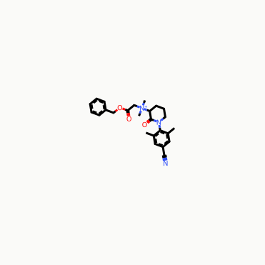 Cc1cc(C#N)cc(C)c1N1CCCC([N+](C)(C)CC(=O)OCc2ccccc2)C1=O